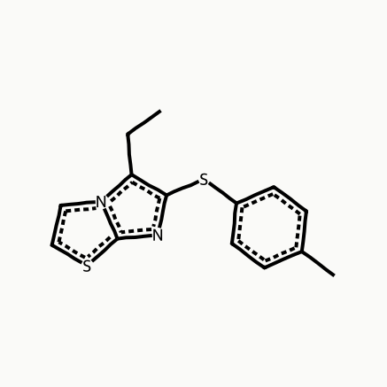 CCc1c(Sc2ccc(C)cc2)nc2sccn12